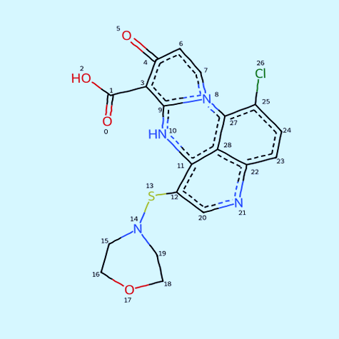 O=C(O)c1c(=O)ccn2c1[nH]c1c(SN3CCOCC3)cnc3ccc(Cl)c2c31